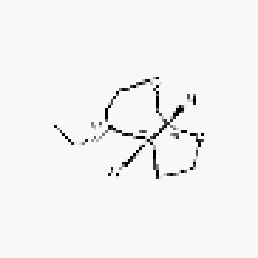 CC[C@@H]1CO[C@@H]2OCC[C@H]12